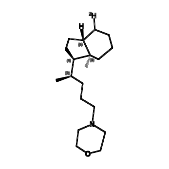 [2H]C1CCC[C@]2(C)[C@@H]1CC[C@@H]2[C@H](C)CCCN1CCOCC1